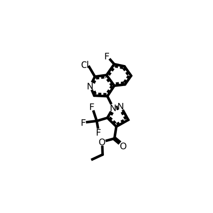 CCOC(=O)c1cnn(-c2cnc(Cl)c3c(F)cccc23)c1C(F)(F)F